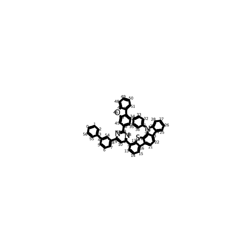 c1ccc(-c2cccc(-c3cc(-c4cccc5c4sc4c5ccc5c6ccccc6n(-c6ccccc6)c54)nc(-c4ccc5c(c4)oc4ccccc45)n3)c2)cc1